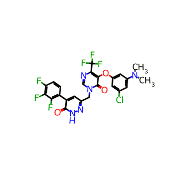 CN(C)c1cc(Cl)cc(Oc2c(C(F)(F)F)ncn(Cc3cc(-c4ccc(F)c(F)c4F)c(=O)[nH]n3)c2=O)c1